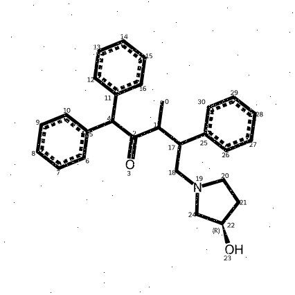 CC(C(=O)C(c1ccccc1)c1ccccc1)C(CN1CC[C@@H](O)C1)c1ccccc1